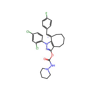 O=C(NN1CCCCC1)Oc1nn(-c2ccc(Cl)cc2Cl)c2c1CCCCC/C2=C\c1ccc(F)cc1